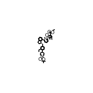 CCOC(=O)c1cnn(-c2cccc(-c3cccc4c3[C@@H](Cc3ccc(C5CCN(C(=O)OC(C)(C)C)CC5)c(CC)c3)CC4)n2)c1OC